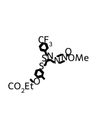 CCOC(=O)C(C)Oc1ccc(SCc2sc(-c3ccc(C(F)(F)F)cc3)nc2CN2CCN(C(=O)OC)CC2)cc1C